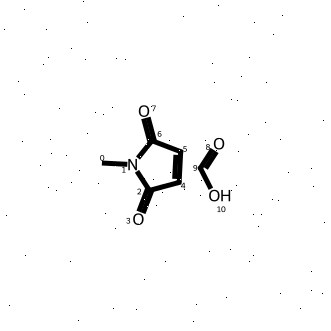 CN1C(=O)C=CC1=O.O=CO